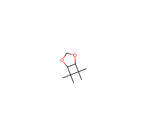 CC1(C)C2OCOC2C1(C)C